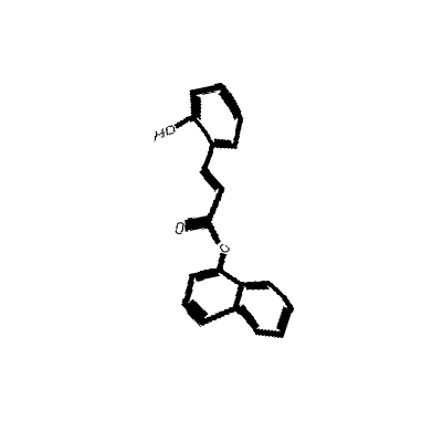 O=C(C=Cc1ccccc1O)Oc1cccc2ccccc12